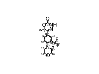 CC1OC(=O)NN=C1c1ccc(N2CCOCC2)c(C(F)(F)F)c1